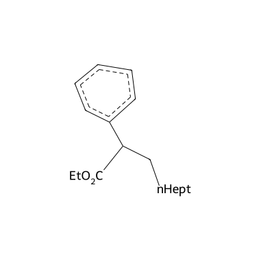 CCCCCCCCC(C(=O)OCC)c1ccccc1